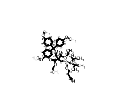 CCOC(=O)C(COP(OCCC#N)N(C(C)C)C(C)C)(COC(c1ccc(OC)cc1)(c1ccc(OC)cc1)c1ccc(OC)cc1)C(=O)OCC